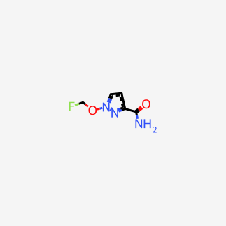 NC(=O)c1ccn(OCF)n1